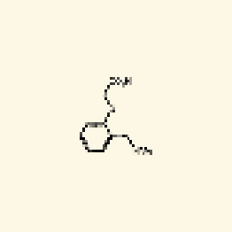 CNCc1ccccc1OCC(=O)O